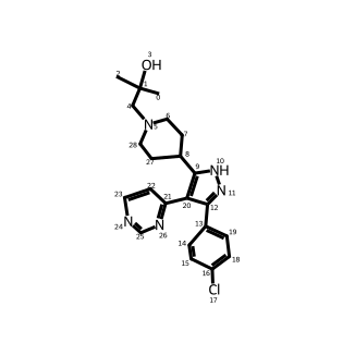 CC(C)(O)CN1CCC(c2[nH]nc(-c3ccc(Cl)cc3)c2-c2ccncn2)CC1